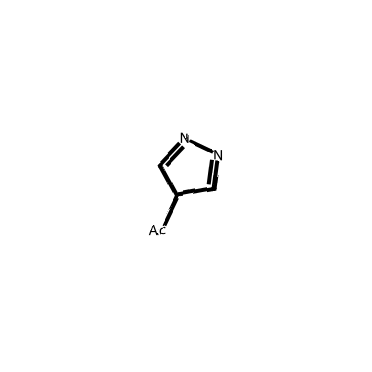 CC(=O)C1C=NN=C1